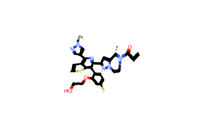 C=CC(=O)N1CCn2nc(-c3nc(-c4cnn(C(C)C)c4)c4ccsc4c3-c3c(F)cc(F)cc3OCCO)cc2[C@@H]1C